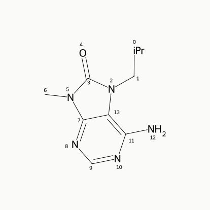 CC(C)Cn1c(=O)n(C)c2ncnc(N)c21